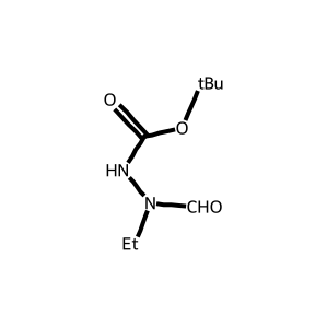 CCN(C=O)NC(=O)OC(C)(C)C